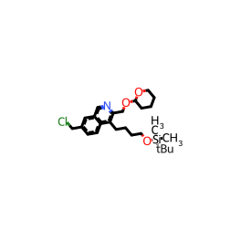 CC(C)(C)[Si](C)(C)OCCCCc1c(COC2CCCCO2)ncc2cc(CCl)ccc12